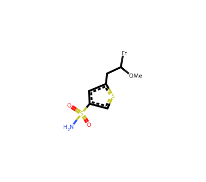 CCC(Cc1cc(S(N)(=O)=O)cs1)OC